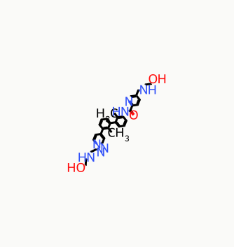 Cc1c(NC(=O)c2ccc(CNCCO)cn2)cccc1-c1cccc(-c2ccn3c(CNCCO)nnc3c2)c1C